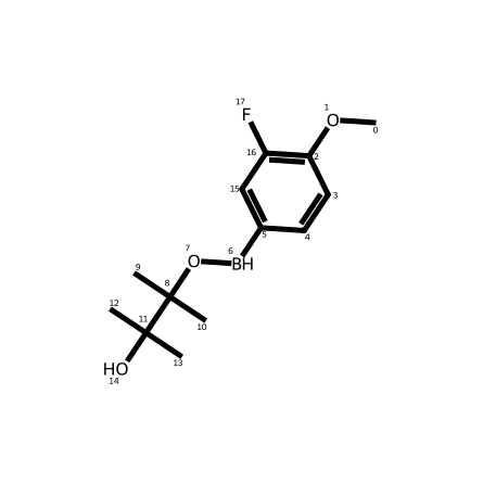 COc1ccc(BOC(C)(C)C(C)(C)O)cc1F